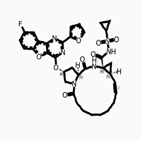 O=C1N[C@]2(C(=O)NS(=O)(=O)C3CC3)C[C@H]2/C=C\CCCCCCC(=O)N2C[C@H](Oc3nc(-c4ccco4)nc4c3oc3ccc(F)cc34)C[C@@H]12